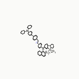 CC1(C)c2ccccc2-c2ccc(N(c3ccc(/C=C/c4ccc(-c5ccc(N(c6ccccc6)c6ccccc6)cc5)cc4)cc3)c3cccc4ccccc34)cc21